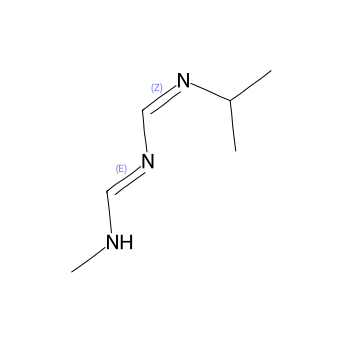 CN/C=N/C=N\C(C)C